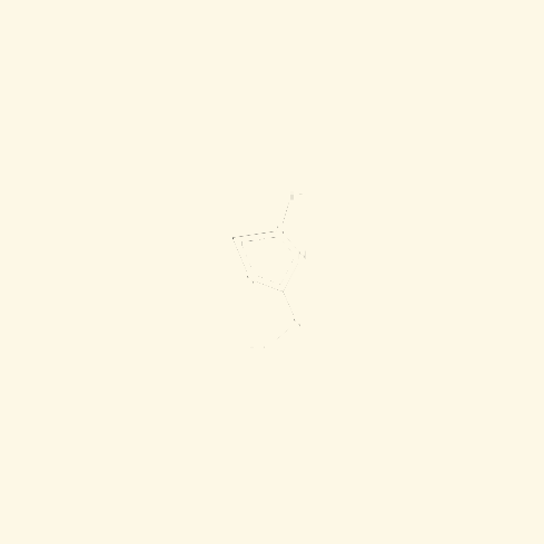 CC(C)n1cnc(NC=O)n1